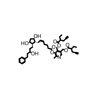 C#CCC(CC)C(=O)OCc1cnc(C)c(OC(=O)CCC/C=C\C[C@@H]2[C@@H](CCC(O)CCc3ccccc3)[C@H](O)C[C@@H]2O)c1COC(=O)C(CC)CC#C